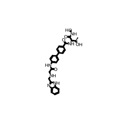 C[C@@H](O)[C@H](NC(=O)c1ccc(-c2ccc(NC(=O)CNCc3nc4ccccc4[nH]3)cc2)cc1)C(=O)NO